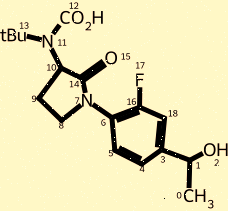 CC(O)c1ccc(N2CCC(N(C(=O)O)C(C)(C)C)C2=O)c(F)c1